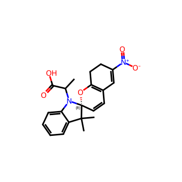 CC(C(=O)O)N1c2ccccc2C(C)(C)[C@]12C=CC1=C(CCC([N+](=O)[O-])=C1)O2